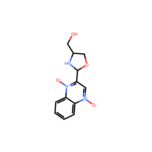 [O-][n+]1cc(C2NC(CO)CO2)[n+]([O-])c2ccccc21